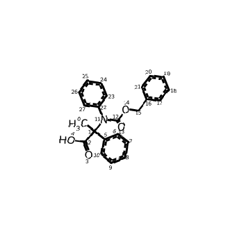 CC(C(=O)O)(c1ccccc1)N(C(=O)OCc1ccccc1)c1ccccc1